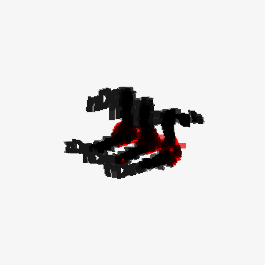 CCCCCCCCCCCCCCCCOP(=O)([O-])OCCCCCCCCCCCCCCCC.CCCCCCCCCCCCCCCCOP(=O)([O-])OCCCCCCCCCCCCCCCC.CCCCCCCCCCCCCCCCOP(=O)([O-])OCCCCCCCCCCCCCCCC.[Fe+3]